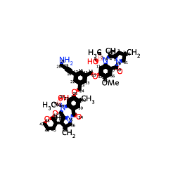 C=C1C[C@H]2[C@H](C)N(B(C)O)c3cc(OCc4cc(C#CCN)cc(COc5cc6c(cc5C)C(=O)N5CC(=C)C[C@H]5[C@H](OC5CCCCO5)N6B(C)O)c4)c(OC)cc3C(=O)N2C1